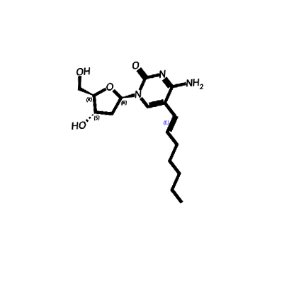 CCCCC/C=C/c1cn([C@H]2C[C@H](O)[C@@H](CO)O2)c(=O)nc1N